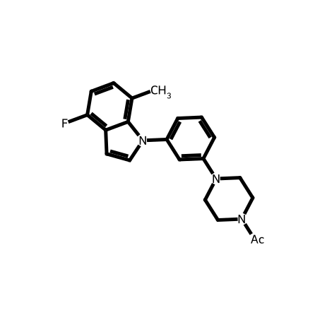 CC(=O)N1CCN(c2cccc(-n3ccc4c(F)ccc(C)c43)c2)CC1